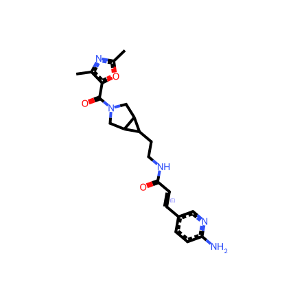 Cc1nc(C)c(C(=O)N2CC3C(CCNC(=O)/C=C/c4ccc(N)nc4)C3C2)o1